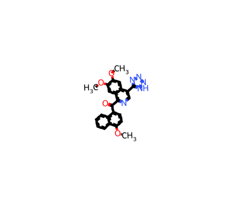 COc1cc2c(-c3nnn[nH]3)cnc(C(=O)c3ccc(OC)c4ccccc34)c2cc1OC